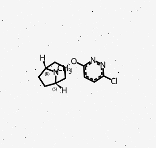 CN1[C@@H]2CC[C@H]1C[C@@H](Oc1ccc(Cl)nn1)C2